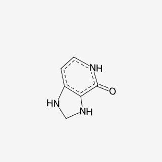 O=c1[nH]ccc2c1NCN2